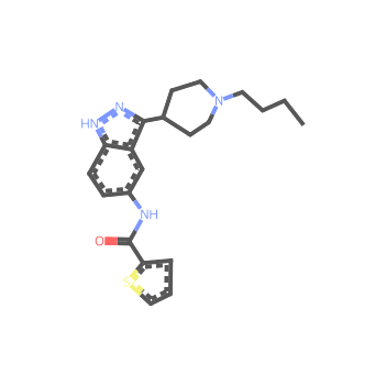 CCCCN1CCC(c2n[nH]c3ccc(NC(=O)c4cccs4)cc23)CC1